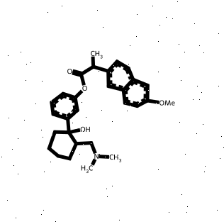 COc1ccc2cc(C(C)C(=O)Oc3cccc(C4(O)CCCCC4CN(C)C)c3)ccc2c1